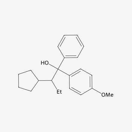 CCC(C1CCCC1)C(O)(c1ccccc1)c1ccc(OC)cc1